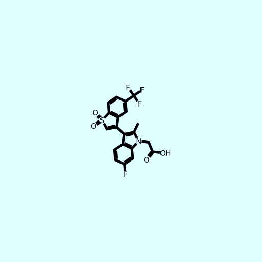 Cc1c(C2=CS(=O)(=O)c3ccc(C(F)(F)F)cc32)c2ccc(F)cc2n1CC(=O)O